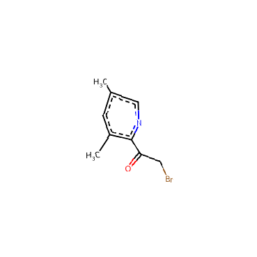 Cc1cnc(C(=O)CBr)c(C)c1